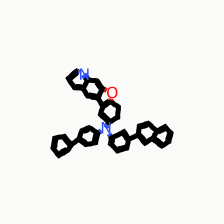 C1=C(N(c2ccc(-c3ccccc3)cc2)c2cccc(-c3ccc4ccccc4c3)c2)CCc2oc3cc4ncccc4cc3c21